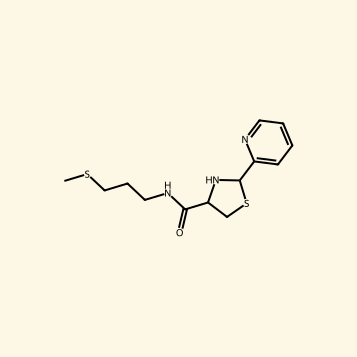 CSCCCNC(=O)C1CSC(c2ccccn2)N1